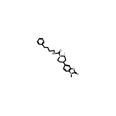 C[C@@H]1CC(c2ccc3c(c2)oc(=O)n3C)CCN1C(=O)NCCCCc1ccccc1